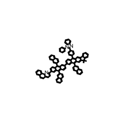 CC1(C)c2ccccc2-c2cc3c(-c4ccc(-c5nc6ccccc6n5-c5ccccc5)cc4)c4ccc(-c5ccc6c(-c7ccc8ccccc8c7)c7cc(-c8ccc9ccc%10ccccc%10c9n8)ccc7c(-c7ccc8ccccc8c7)c6c5)cc4c(-c4ccc5ccccc5c4)c3cc21